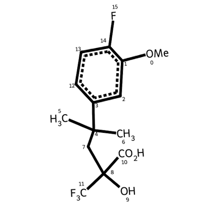 COc1cc(C(C)(C)CC(O)(C(=O)O)C(F)(F)F)ccc1F